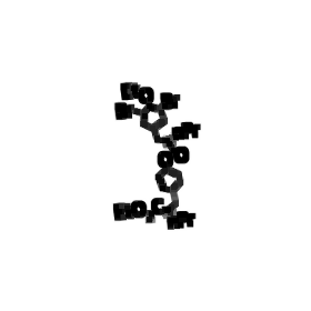 CCC[C@@H](Cc1ccc(OC(=O)[C@@H](CCC)Cc2cc(Br)c(OCC)c(Br)c2)cc1)C(=O)OCC